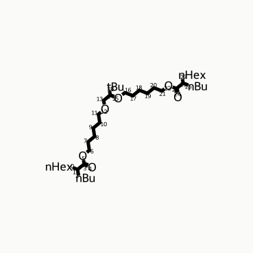 CCCCCCC(CCCC)C(=O)OCCCCCCOCC(OCCCCCCOC(=O)C(CCCC)CCCCCC)C(C)(C)C